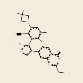 Cn1ncc(-c2ccc3c(=O)[nH]c(CN)nc3c2)c1-c1c(F)c(Cl)cc(N2CC(F)(F)C2)c1C#N